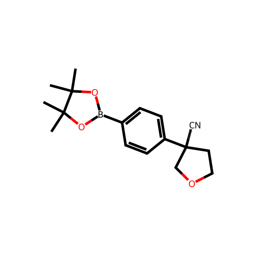 CC1(C)OB(c2ccc(C3(C#N)CCOC3)cc2)OC1(C)C